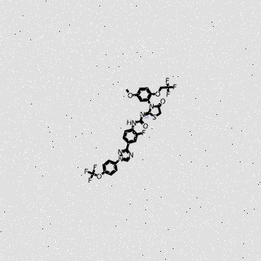 COc1ccc(OCC(F)(F)F)c(N2C(=O)CS/C2=N\C(=O)Nc2ccc(-c3ncn(-c4ccc(OC(F)(F)F)cc4)n3)cc2F)c1